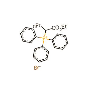 CCCC(C(=O)OCC)[P+](c1ccccc1)(c1ccccc1)c1ccccc1.[Br-]